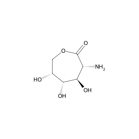 N[C@H]1C(=O)OC[C@@H](O)[C@@H](O)[C@@H]1O